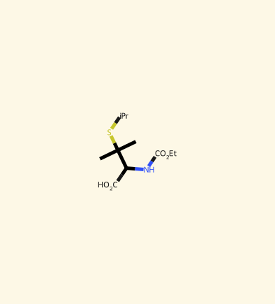 CCOC(=O)NC(C(=O)O)C(C)(C)SC(C)C